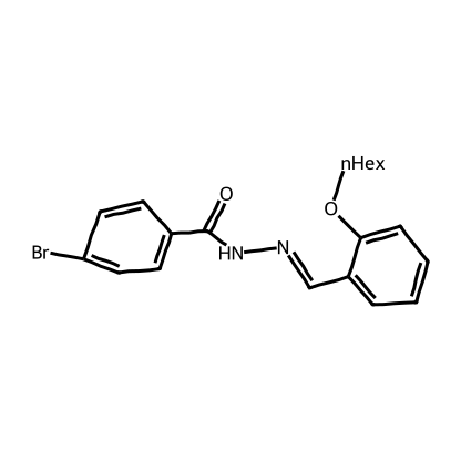 CCCCCCOc1ccccc1/C=N/NC(=O)c1ccc(Br)cc1